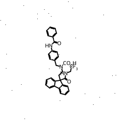 O=C(Nc1ccc(CN(CCC2(C(=O)NCC(F)(F)F)c3ccccc3-c3ccccc32)C(=O)O)cc1)c1ccccc1